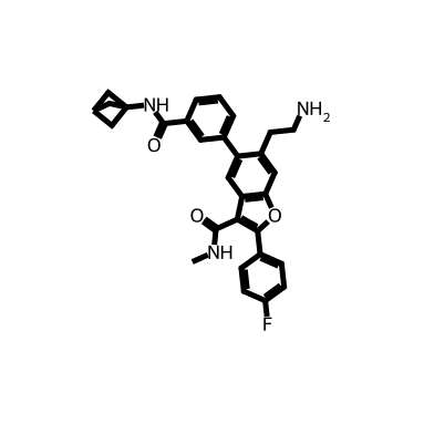 CNC(=O)c1c(-c2ccc(F)cc2)oc2cc(CCN)c(-c3cccc(C(=O)NC45CC(C4)C5)c3)cc12